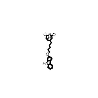 O=C1C=CC(CCCCCOc2ccc3c(c2)[nH]c2ccccc23)CC(=O)N1